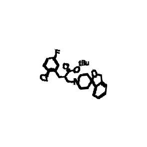 CC(C)(C)OC(=O)C(Cc1cc(F)ccc1Cl)CN1CCC2(CC1)OCc1ccccc12